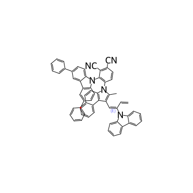 C=C/C(=C\c1c(C)n(-c2ccc(C#N)c(C#N)c2-n2c3ccc(-c4ccccc4)cc3c3cc(-c4ccccc4)ccc32)c2ccc3ccccc3c12)n1c2ccccc2c2ccccc21